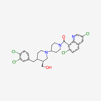 O=C(c1c(Cl)ccc2cc(Cl)cnc12)N1CCC(N2CCC(Cc3ccc(Cl)c(Cl)c3)[C@H](CO)C2)CC1